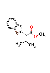 COC(=O)C(c1cc2ccccc2s1)C(C)C